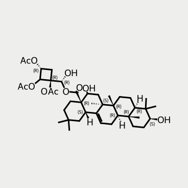 CC(=O)OC1[C@H](OC(C)=O)C[C@]1(OC(C)=O)[C@H](O)OC(=O)[C@]12CCC(C)(C)C[C@H]1C1=CC[C@@H]3[C@@]4(C)CC[C@H](O)C(C)(C)[C@@H]4CC[C@@]3(C)[C@]1(C)CC2O